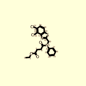 CCOC(=O)CCC(=O)N(Cc1nc2c(Cl)c(Cl)ccc2s1)c1ccccc1